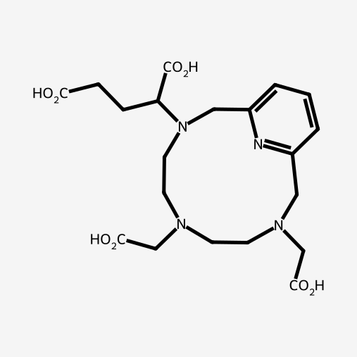 O=C(O)CCC(C(=O)O)N1CCN(CC(=O)O)CCN(CC(=O)O)Cc2cccc(n2)C1